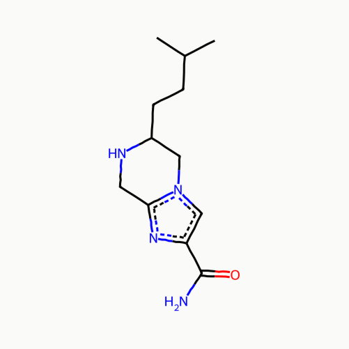 CC(C)CCC1Cn2cc(C(N)=O)nc2CN1